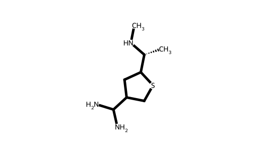 CN[C@H](C)C1CC(C(N)N)CS1